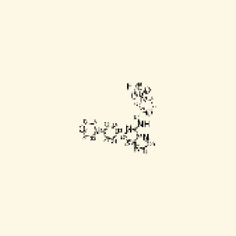 O=S(=O)(N1CCO[C@H](CNc2nc(-c3ccc(N4CCOCC4)cc3)cc3nccnc23)C1)C(F)(F)F